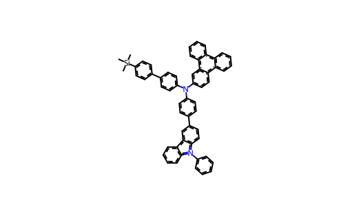 C[Si](C)(C)c1ccc(-c2ccc(N(c3ccc(-c4ccc5c(c4)c4ccccc4n5-c4ccccc4)cc3)c3ccc4c5ccccc5c5ccccc5c4c3)cc2)cc1